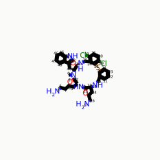 CN1C(=O)C(CCCCN)NC(=O)C(CCCN)NCc2ccccc2Sc2c(Cl)ccc(Cl)c2CNC(=O)[C@@H]1Cc1c[nH]c2ccccc12